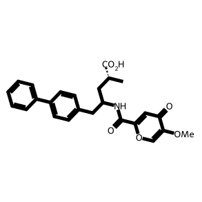 COc1coc(C(=O)NC(Cc2ccc(-c3ccccc3)cc2)C[C@@H](C)C(=O)O)cc1=O